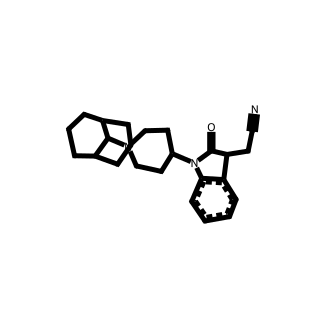 N#CCC1C(=O)N(C2CCN(C3C4CCCC3CCC4)CC2)c2ccccc21